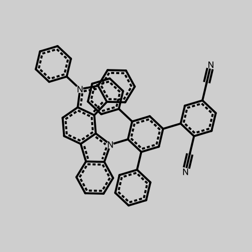 N#Cc1ccc(C#N)c(-c2cc(-c3ccccc3)c(-n3c4ccccc4c4ccc5c(c6ccccc6n5-c5ccccc5)c43)c(-c3ccccc3)c2)c1